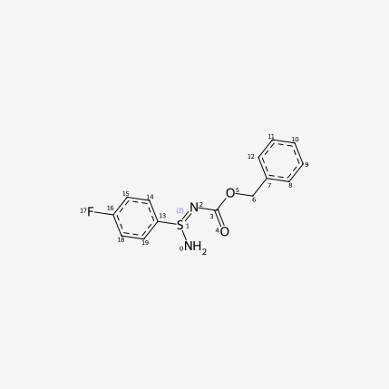 N/S(=N\C(=O)OCc1ccccc1)c1ccc(F)cc1